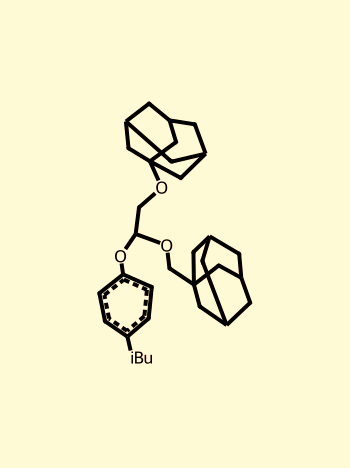 CCC(C)c1ccc(OC(COC23CC4CC(CC(C4)C2)C3)OCC23CC4CC(CC(C4)C2)C3)cc1